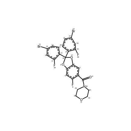 O=C(c1cc2c(cc1F)OC(c1ccc(Br)cc1F)(c1ccc(Br)cc1F)O2)N1CCOCC1